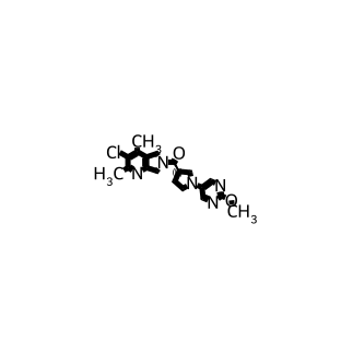 COc1ncc(N2CC[C@@H](C(=O)N3Cc4nc(C)c(Cl)c(C)c4C3)C2)cn1